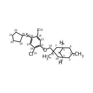 CC1C[C@@H]2C[C@H](C1)CC(C)(COc1cc(F)c(SC3CCCC3)cc1Cl)C2